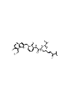 CC(C)Cc1c(F)cnc2cc(Cn3cccc(NC(=O)[C@H](CC/C=C/C(=O)N(C)C)OC(=O)N(C)C)c3=O)[nH]c12